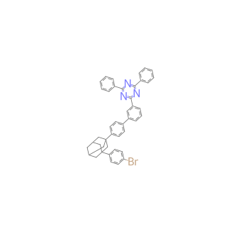 Brc1ccc(C23CC4CC(C2)CC(c2ccc(-c5cccc(-c6nc(-c7ccccc7)nc(-c7ccccc7)n6)c5)cc2)(C4)C3)cc1